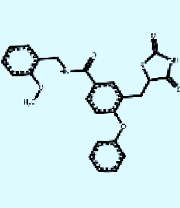 COc1ccccc1CNC(=O)c1ccc(Oc2ccccc2)c(CC2SC(=O)NC2=O)c1